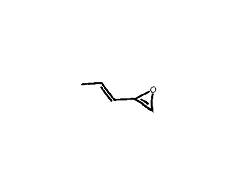 CC=CC1=CO1